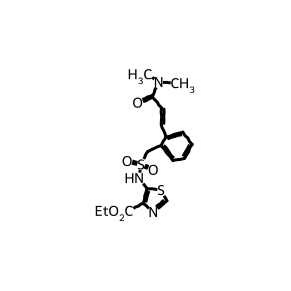 CCOC(=O)c1ncsc1NS(=O)(=O)Cc1ccccc1/C=C/C(=O)N(C)C